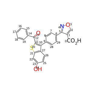 O=C(O)c1conc1-c1ccc(-c2c(C(=O)c3ccccc3)sc3cc(O)ccc23)cc1